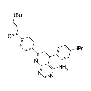 CC(C)c1ccc(-c2cc(-c3ccc(C(=O)C=CC(C)(C)C)cc3)nc3ncnc(N)c23)cc1